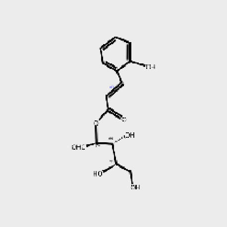 O=C[C@@H](OC(=O)/C=C/c1ccccc1O)[C@H](O)[C@H](O)CO